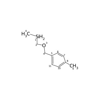 C[SiH2]COCc1ccc(C)cc1